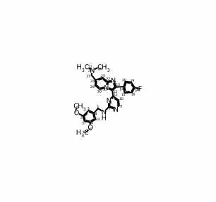 COc1cc(CNc2nccc(-c3c(-c4ccc(F)cc4)nc4cc(CN(C)C)ccn34)n2)cc(OC)c1